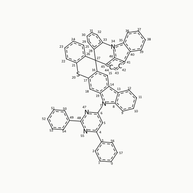 c1ccc(-c2cc(-n3c4ccccc4c4cc5c(cc43)Sc3ccccc3C53c4ccccc4-n4c5ccccc5c5cccc3c54)nc(-c3ccccc3)n2)cc1